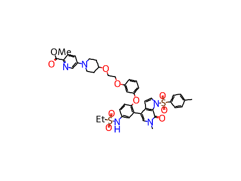 CCS(=O)(=O)Nc1ccc(Oc2cccc(OCCOC3CCN(c4ccc(C(=O)OC)nc4)CC3)c2)c(-c2cn(C)c(=O)c3c2ccn3S(=O)(=O)c2ccc(C)cc2)c1